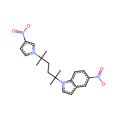 CC(C)(CCC(C)(C)n1ccc2cc([N+](=O)[O-])ccc21)n1ccc([N+](=O)[O-])c1